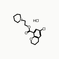 Cl.O=C(OCCN1CCCCC1)c1cc(Cl)cc2c1OCCC2